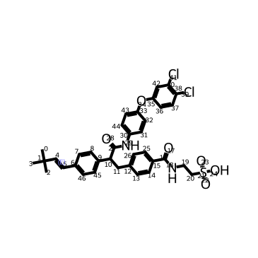 CC(C)(C)/C=C/c1ccc(C(Cc2ccc(C(=O)NCCS(=O)(=O)O)cc2)C(=O)Nc2ccc(Oc3ccc(Cl)c(Cl)c3)cc2)cc1